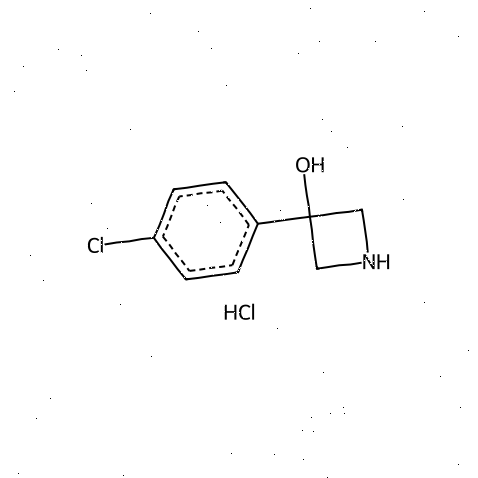 Cl.OC1(c2ccc(Cl)cc2)CNC1